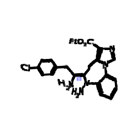 CCOC(=O)c1ncn2c1C/C(=C(/N)Cc1ccc(Cl)cc1)N(N)c1ccccc1-2